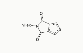 CCCCCCN1C(=O)c2cscc2C1=O